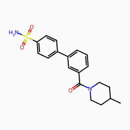 CC1CCN(C(=O)c2cccc(-c3ccc(S(N)(=O)=O)cc3)c2)CC1